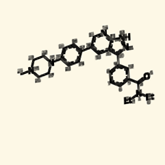 CCN(CC)C(=O)c1cccc(-c2n[nH]c3ncc(-c4ccc(N5CCN(C)CC5)cc4)cc23)c1